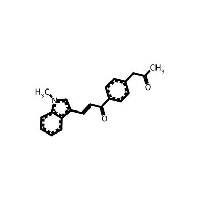 CC(=O)Cc1ccc(C(=O)/C=C/c2cn(C)c3ccccc23)cc1